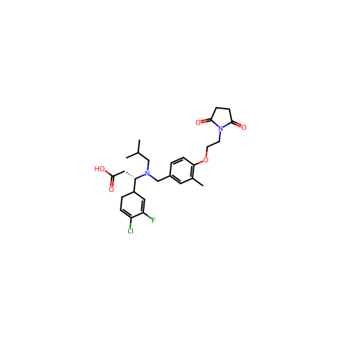 Cc1cc(CN(CC(C)C)[C@@H](CC(=O)O)C2C=C(F)C(Cl)=CC2)ccc1OCCN1C(=O)CCC1=O